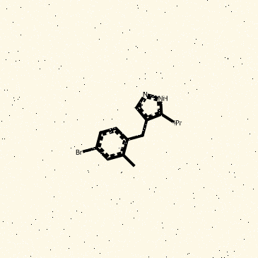 Cc1cc(Br)ccc1Cc1[c]n[nH]c1C(C)C